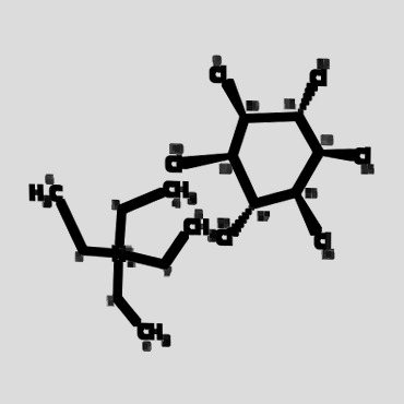 CC[N+](CC)(CC)CC.Cl[C@H]1[C@H](Cl)[C@@H](Cl)[C@@H](Cl)[C@H](Cl)[C@H]1Cl